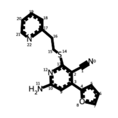 N#Cc1c(-c2ccco2)cc(N)nc1SCCc1ccccn1